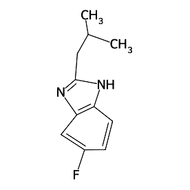 CC(C)Cc1nc2cc(F)ccc2[nH]1